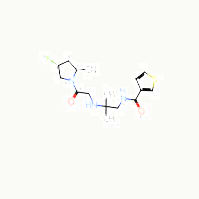 CC(C)(CNC(=O)c1ccsc1)NCC(=O)N1C[C@@H](F)C[C@H]1C#N